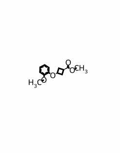 COc1ccccc1O[C@H]1C[C@H](C(=O)OC)C1